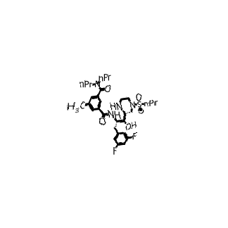 CCCN(CCC)C(=O)c1cc(C)cc(C(=O)N[C@@H](Cc2cc(F)cc(F)c2)[C@H](O)[C@H]2CN(S(=O)(=O)CCC)CCN2)c1